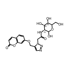 O=C(Cn1nncc1COc1ccc2ccc(=O)oc2c1)N[C@@H]1C(O)OC(CO)[C@H](O)[C@@H]1O